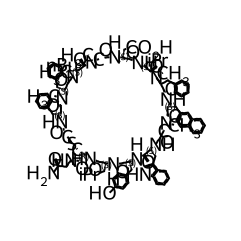 CCCC[C@H]1C(=O)N(C)CC(=O)N[C@@H](CC(=O)O)C(=O)N[C@@H](C(C)C)C(=O)N(C)C(Cc2ccccc2)C(=O)N[C@@H](Cc2ccc3ccccc3c2)C(=O)N(C)CC(=O)N[C@@H](Cc2c[nH]c3ccccc23)C(=O)N[C@@H](Cc2ccc(O)cc2)C(=O)N[C@@H](CC(C)C)C(=O)N[C@H](C(=O)NCC(N)=O)CSCC(=O)N[C@@H](Cc2ccccc2)C(=O)N(C)[C@@H](Cc2ccccc2)C(=O)N1C